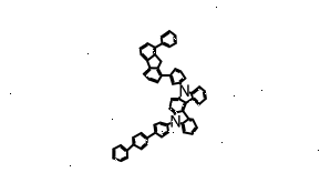 c1ccc(-c2ccc(-c3ccc(-n4c5ccccc5c5c6c7ccccc7n(-c7cccc(-c8cccc9c8Cc8c(-c%10ccccc%10)cccc8-9)c7)c6ccc54)cc3)cc2)cc1